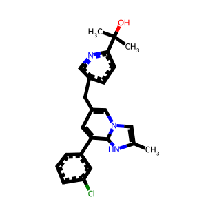 CC1=CN2C=C(Cc3ccc(C(C)(C)O)nc3)C=C(c3cccc(Cl)c3)C2N1